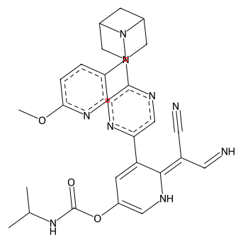 COc1ccc(CN2C3CC2CN(c2cnc(C4=CC(OC(=O)NC(C)C)=CN/C4=C(/C#N)C=N)cn2)C3)cn1